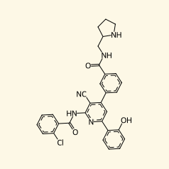 N#Cc1c(-c2cccc(C(=O)NCC3CCCN3)c2)cc(-c2ccccc2O)nc1NC(=O)c1ccccc1Cl